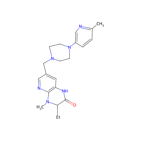 CCC1C(=O)Nc2cc(CN3CCN(c4ccc(C)nc4)CC3)cnc2N1C